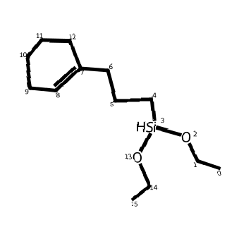 CCO[SiH](CCCC1=CCCCC1)OCC